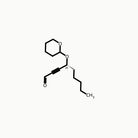 CCCCC[C@H](C#CC=O)OC1CCCCO1